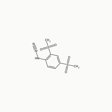 CS(=O)(=O)c1ccc(N[N+]#N)c(S(C)(=O)=O)c1